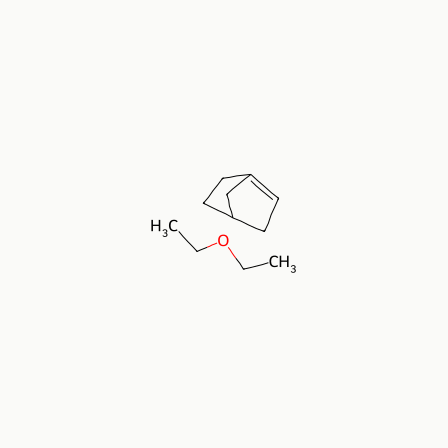 C1=C2CCC(C1)C2.CCOCC